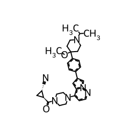 COC1(c2ccc(-c3cc4c(N5CCN(C(=O)[C@H]6C[C@@H]6C#N)CC5)ccnn4c3)cc2)CCN(C(C)C)CC1